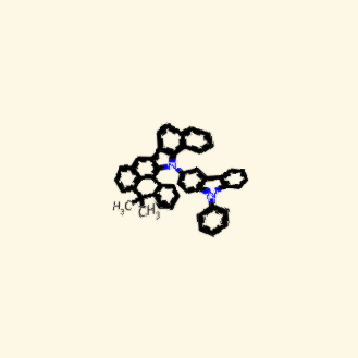 CC1(C)c2ccccc2-c2c3c1cccc3cc1c3ccc4ccccc4c3n(-c3ccc4c(c3)c3ccccc3n4-c3ccccc3)c21